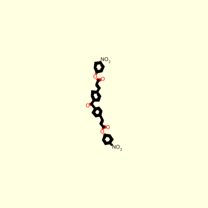 O=C(/C=C/c1ccc(C(=O)c2ccc(/C=C/C(=O)Oc3ccc([N+](=O)[O-])cc3)cc2)cc1)Oc1ccc([N+](=O)[O-])cc1